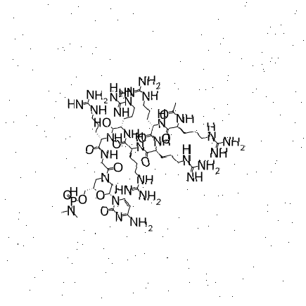 CC(=O)N[C@@H](CCCNC(=N)N)C(=O)N[C@@H](CCCNC(=N)N)C(=O)N[C@@H](CCCNC(=N)N)C(=O)N[C@@H](CCCNC(=N)N)C(=O)N[C@@H](CCCNC(=N)N)C(O)N[C@@H](CCCNC(=N)N)C(=O)NCC(=O)N1C[C@@H](CO[PH](=O)N(C)C)O[C@@H](n2ccc(N)nc2=O)C1